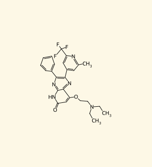 CCN(CC)CCOc1cc(=O)[nH]c2nc(-c3ccccc3)c(-c3cc(C)nc(C(F)(F)F)c3)nc12